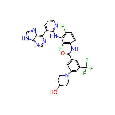 O=C(Nc1ccc(F)c(Nc2ncccc2-c2ncnc3[nH]cnc23)c1F)c1cc(N2CCC(O)CC2)cc(C(F)(F)F)c1